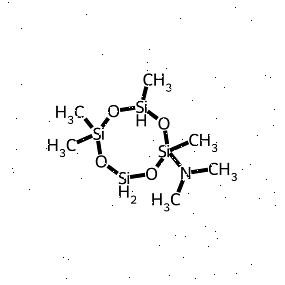 CN(C)[Si]1(C)O[SiH2]O[Si](C)(C)O[SiH](C)O1